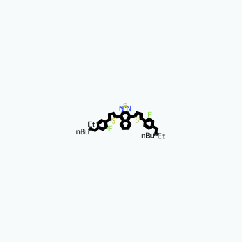 CCCCC(CC)Cc1ccc(-c2ccc(-c3c4ccccc4c(-c4ccc(-c5ccc(CC(CC)CCCC)cc5F)s4)c4nsnc34)s2)c(F)c1